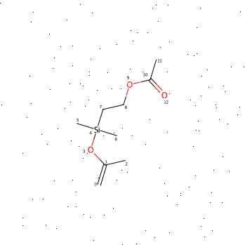 C=C(C)O[Si](C)(C)CCOC(C)=O